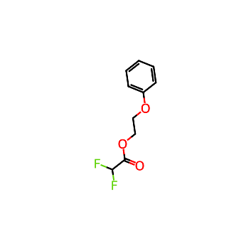 O=C(OCCOc1ccccc1)C(F)F